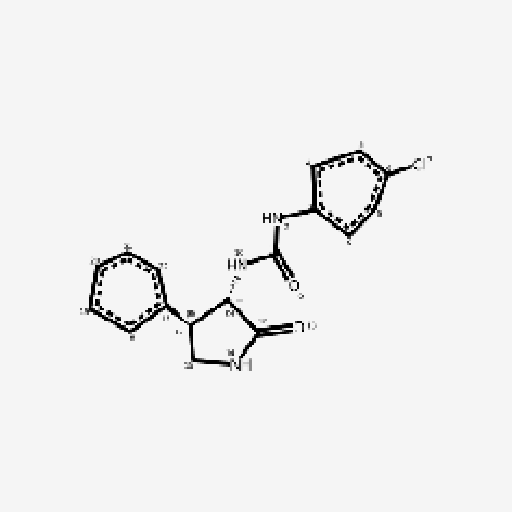 O=C(Nc1ccc(Cl)cc1)N[C@@H]1C(=O)NC[C@H]1c1ccccc1